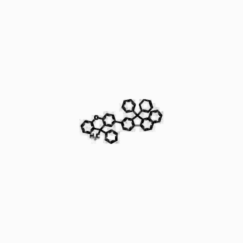 CC1(c2ccccc2)c2ccccc2Oc2ccc(-c3ccc4c(c3)C(C3=CC=CCC3)(c3ccccc3)c3c-4ccc4ccccc34)cc21